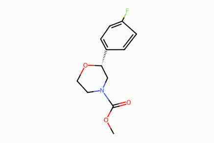 COC(=O)N1CCO[C@H](c2ccc(F)cc2)C1